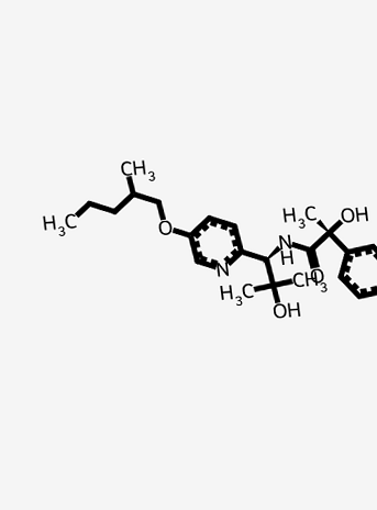 CCCC(C)COc1ccc([C@@H](NC(=O)[C@](C)(O)c2ccccc2)C(C)(C)O)nc1